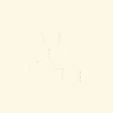 CC(=O)N1Cc2ccncc2/C=C\c2ccccc21